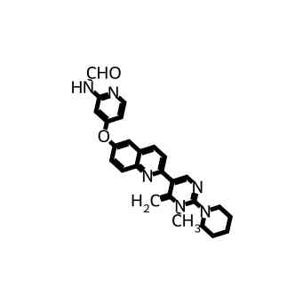 C=C1C(c2ccc3cc(Oc4ccnc(NC=O)c4)ccc3n2)=CN=C(N2CCCCC2)N1C